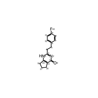 O=c1nc(CCc2ccc(F)cc2)[nH]c2c1CCC2